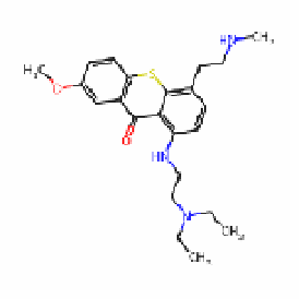 CCN(CC)CCNc1ccc(CCNC)c2sc3ccc(OC)cc3c(=O)c12